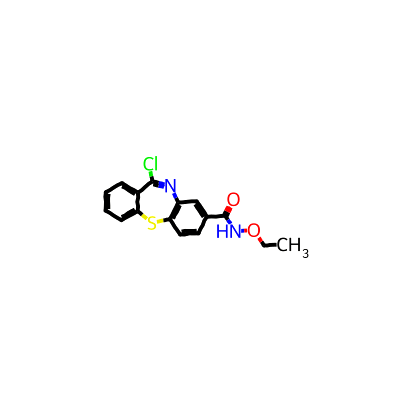 CCONC(=O)c1ccc2c(c1)N=C(Cl)c1ccccc1S2